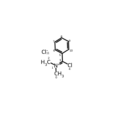 C[N+](C)=C(Cl)c1ccccc1.[Cl-]